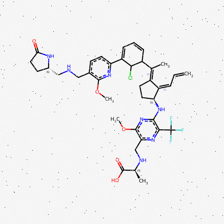 C=C/C=C1\C(=C(/C)C2C=CC=C(c3ccc(CNC[C@@H]4CCC(=O)N4)c(OC)n3)C2Cl)CC[C@@H]1Nc1nc(OC)c(CN[C@@H](C)C(=O)O)nc1C(F)(F)F